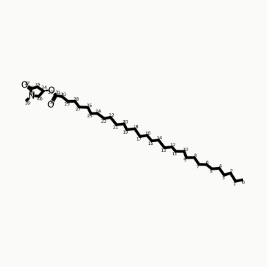 CCCCCCCCCCCCCCCCCCCCCCCCCCCCCCCC(=O)O[C@@H]1CC(=O)N(C)C1